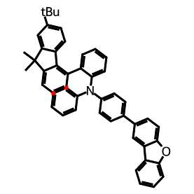 CC(C)(C)c1ccc2c(c1)C(C)(C)c1cccc(-c3ccccc3N(c3ccccc3)c3ccc(-c4ccc5oc6ccccc6c5c4)cc3)c1-2